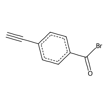 C#Cc1ccc(C(=O)Br)cc1